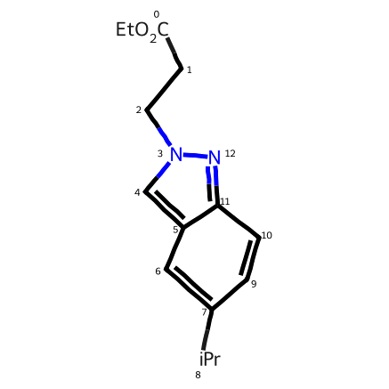 CCOC(=O)CCn1cc2cc(C(C)C)ccc2n1